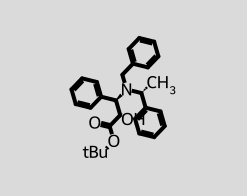 C[C@H](c1ccccc1)N(Cc1ccccc1)[C@H](c1ccccc1)[C@@H](O)C(=O)OC(C)(C)C